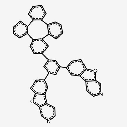 c1ccc2c(c1)-c1ccccc1-c1ccc(-c3cc(-c4ccc5oc6cnccc6c5c4)cc(-c4ccc5oc6cnccc6c5c4)c3)cc1-c1ccccc1-2